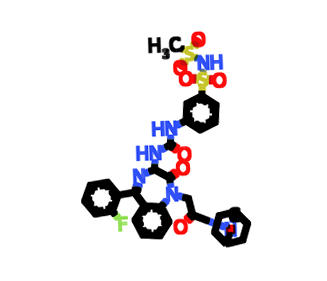 CS(=O)(=O)NS(=O)(=O)c1cccc(NC(=O)NC2N=C(c3ccccc3F)c3ccccc3N(CC(=O)N3CC4CCC(CC4)C3)C2=O)c1